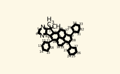 CC1(C)c2nccnc2-c2c(-c3ccccc3)c3ccc4c(-c5ccccc5)cc(-c5ccccc5)c5ccc(c21)c3c45